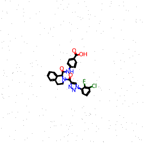 O=C(O)c1ccc(NC(=O)C2c3ccccc3CCN2C(=O)c2cn(-c3cccc(Cl)c3F)nn2)cc1